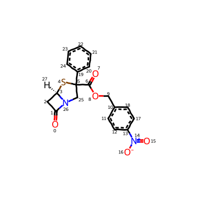 O=C1C[C@H]2SC(C(=O)OCc3ccc([N+](=O)[O-])cc3)(c3ccccc3)CN12